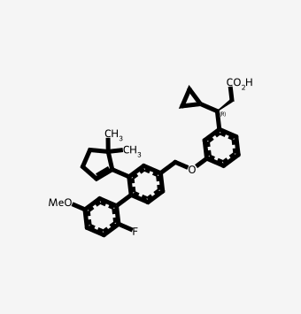 COc1ccc(F)c(-c2ccc(COc3cccc([C@H](CC(=O)O)C4CC4)c3)cc2C2=CCCC2(C)C)c1